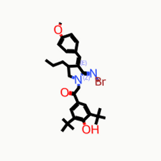 CCCC1CN(CC(=O)c2cc(C(C)(C)C)c(O)c(C(C)(C)C)c2)C(=N\Br)/C1=C/c1ccc(OC)cc1